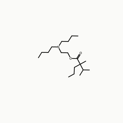 CCCCN(CCCC)CCOC(=O)C(C)(CCC)C(C)C